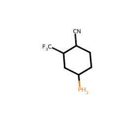 N#CC1CCC(P)CC1C(F)(F)F